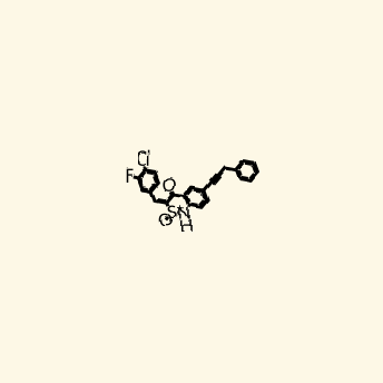 O=C1/C(=C\c2ccc(Cl)c(F)c2)[S+]([O-])Nc2ccc(C#CCc3ccccc3)cc21